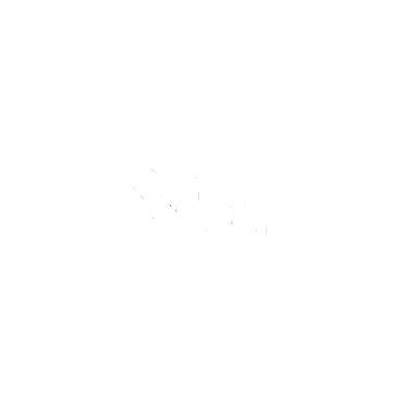 C=CC(=O)OCC[N+](C)(C)c1ccccc1.[Br-]